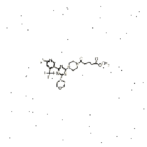 COC(=O)CCCC(=O)N1CCN(c2nc(-c3cnc(N)cc3C(F)(F)F)nc(N3CCOCC3)n2)CC1